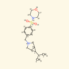 CC(C)C1C2CN(Cc3ccc(S(=O)(=O)N4CCOCC4)cc3)CC21